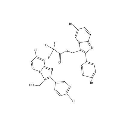 O=C(OCc1c(-c2ccc(Br)cc2)nc2ccc(Br)cn12)C(F)(F)F.OCc1c(-c2ccc(Cl)cc2)nc2cc(Cl)ccn12